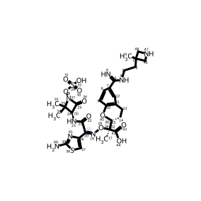 CC1(CCNC(=N)c2ccc3c(c2)CC[C@H]([C@](C)(O/N=C(\C(=O)N[C@@H]2C(=O)N(OS(=O)(=O)O)C2(C)C)c2csc(N)n2)C(=O)O)O3)CNC1